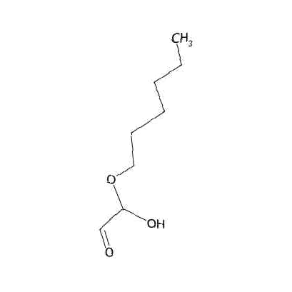 CCCCCCOC(O)C=O